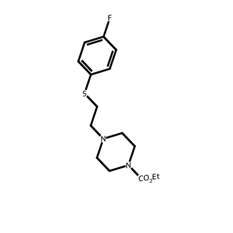 CCOC(=O)N1CCN(CCSc2ccc(F)cc2)CC1